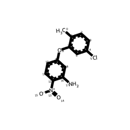 Cc1ccc(Cl)cc1Oc1ccc([N+](=O)[O-])c(N)c1